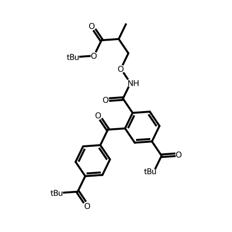 CC(CONC(=O)c1ccc(C(=O)C(C)(C)C)cc1C(=O)c1ccc(C(=O)C(C)(C)C)cc1)C(=O)OC(C)(C)C